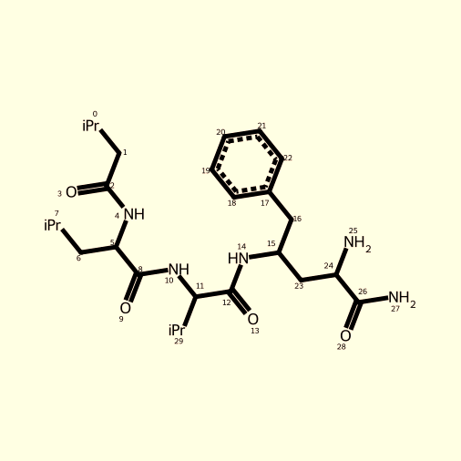 CC(C)CC(=O)NC(CC(C)C)C(=O)NC(C(=O)NC(Cc1ccccc1)CC(N)C(N)=O)C(C)C